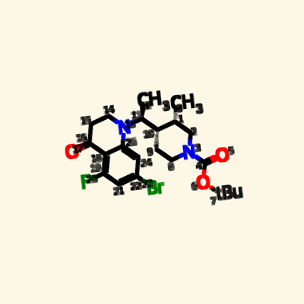 C[C@@H]1CN(C(=O)OC(C)(C)C)CC[C@@H]1[C@H](C)N1CCC(=O)c2c(F)cc(Br)cc21